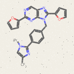 CC(C)n1cc(C(F)(F)F)nc1-c1ccc(Cn2c(-c3ccco3)nc3cnc(-c4ccco4)nc32)cc1